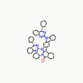 O=c1c2ccccc2c2c3cc4c5ccccc5n(-c5nc(-c6ccccc6)c6ccccc6n5)c4cc3n(-c3nc(-c4ccccc4)c4ccccc4n3)c2n1-c1ccccc1